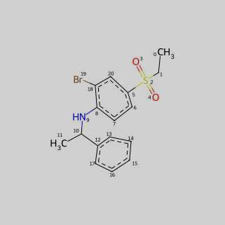 CCS(=O)(=O)c1ccc(NC(C)c2ccccc2)c(Br)c1